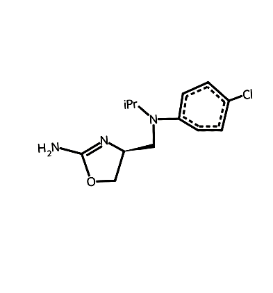 CC(C)N(C[C@H]1COC(N)=N1)c1ccc(Cl)cc1